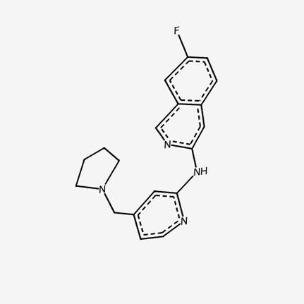 Fc1ccc2cc(Nc3cc(CN4CCCC4)ccn3)ncc2c1